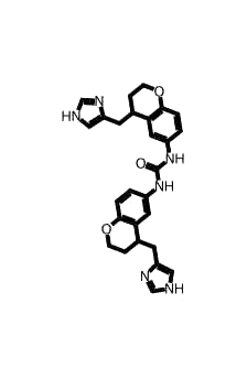 O=C(Nc1ccc2c(c1)C(Cc1c[nH]cn1)CCO2)Nc1ccc2c(c1)C(Cc1c[nH]cn1)CCO2